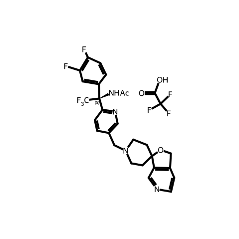 CC(=O)N[C@@](c1ccc(F)c(F)c1)(c1ccc(CN2CCC3(CC2)OCc2ccncc23)cn1)C(F)(F)F.O=C(O)C(F)(F)F